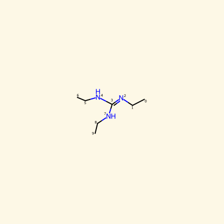 CCN=C(NCC)NCC